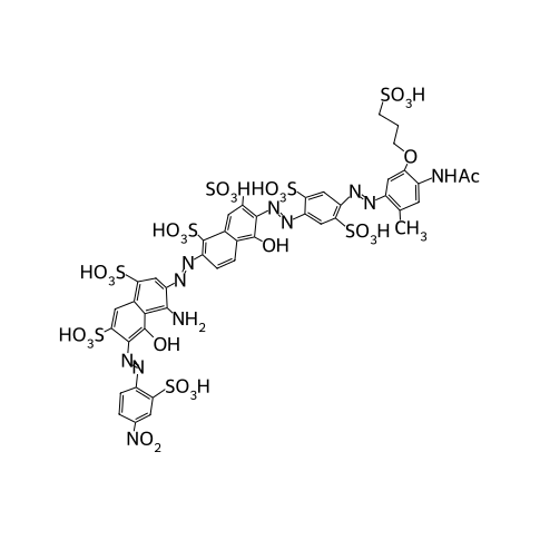 CC(=O)Nc1cc(C)c(N=Nc2cc(S(=O)(=O)O)c(N=Nc3c(S(=O)(=O)O)cc4c(S(=O)(=O)O)c(N=Nc5cc(S(=O)(=O)O)c6cc(S(=O)(=O)O)c(N=Nc7ccc([N+](=O)[O-])cc7S(=O)(=O)O)c(O)c6c5N)ccc4c3O)cc2S(=O)(=O)O)cc1OCCCS(=O)(=O)O